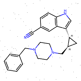 N#Cc1ccc2[nH]cc([C@@H]3C[C@H]3CN3CCN(Cc4ccccc4)CC3)c2c1